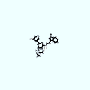 Fc1cncc(-c2nc(NCCc3c[nH]c4ccccc34)c3c(n2)N[C@@H](C(F)(F)F)CO3)c1